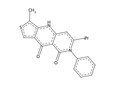 Cc1scc2c(=O)c3c(=O)n(-c4ccccc4)c(C(C)C)cc3[nH]c12